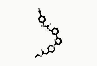 CCOC(=O)CC1CCN(c2cccc(-c3cccc(NC(=O)Nc4ccc(C#N)cc4)c3)n2)CC1